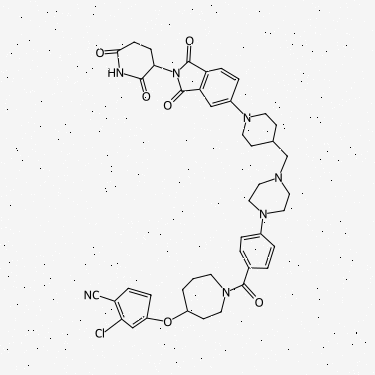 N#Cc1ccc(OC2CCCN(C(=O)c3ccc(N4CCN(CC5CCN(c6ccc7c(c6)C(=O)N(C6CCC(=O)NC6=O)C7=O)CC5)CC4)cc3)CC2)cc1Cl